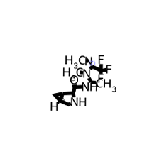 C/N=C(\N(C)C(C)NC(=O)C1NC[C@@H]2CC12)C(F)(F)F